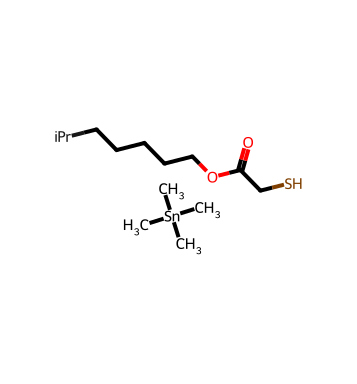 CC(C)CCCCCOC(=O)CS.[CH3][Sn]([CH3])([CH3])[CH3]